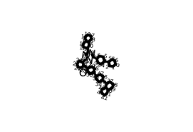 c1ccc(-c2ccc(-c3nc(-c4ccc5ccccc5c4)nc(-c4cccc5oc6cc(-c7ccc(-c8cccc9ccccc89)cc7)ccc6c45)n3)cc2)cc1